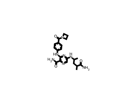 CC(CC(C)C(N)=O)Nc1cnc(C(N)=O)c(Nc2ccc(C(=O)N3CCC3)cc2)n1